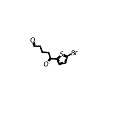 O=CCCCC(=O)c1ccc(Br)s1